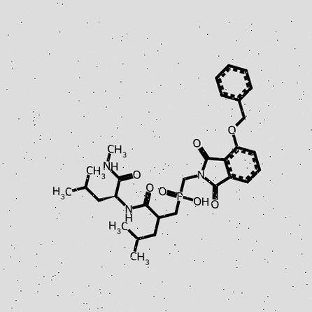 CNC(=O)[C@H](CC(C)C)NC(=O)C(CC(C)C)CP(=O)(O)CN1C(=O)c2cccc(OCc3ccccc3)c2C1=O